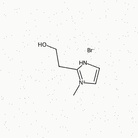 C[n+]1cc[nH]c1CCO.[Br-]